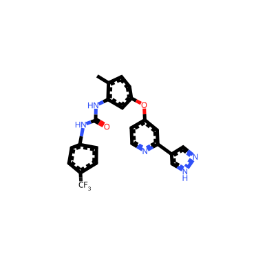 Cc1ccc(Oc2ccnc(-c3cn[nH]c3)c2)cc1NC(=O)Nc1ccc(C(F)(F)F)cc1